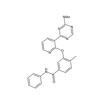 CNc1ncnc(-c2cccnc2Oc2cc(C(=O)Nc3ccccc3)ccc2C)n1